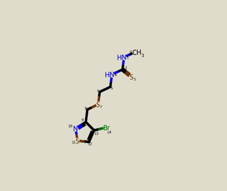 CNC(=S)NCCSCc1nscc1Br